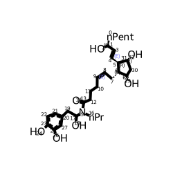 CCCCC[C@H](O)/C=C/[C@@H]1[C@@H](C/C=C\CCCC(=O)N(CCC)C(O)Cc2ccc(O)c(O)c2)[C@@H](O)C[C@H]1O